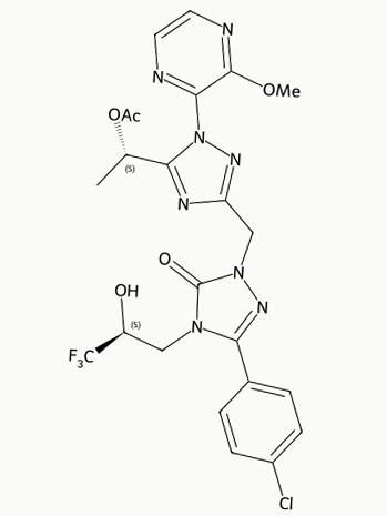 COc1nccnc1-n1nc(Cn2nc(-c3ccc(Cl)cc3)n(C[C@H](O)C(F)(F)F)c2=O)nc1[C@H](C)OC(C)=O